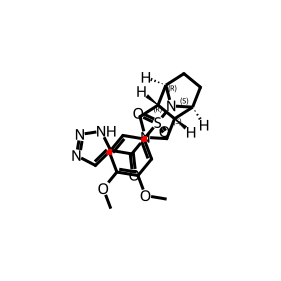 COc1ccc(S(=O)(=O)N2[C@@H]3CC[C@H]2[C@@H]2CN(C(=O)c4cnn[nH]4)C[C@@H]23)cc1OC